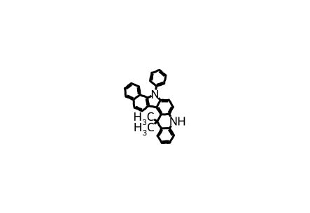 CC1(C)c2ccccc2Nc2ccc3c(c21)c1ccc2ccccc2c1n3-c1ccccc1